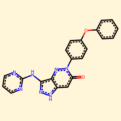 O=c1cc2[nH]nc(Nc3ncccn3)c2nn1-c1ccc(Oc2ccccc2)cc1